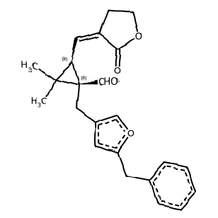 CC1(C)[C@@H](C=C2CCOC2=O)[C@]1([C]=O)Cc1coc(Cc2ccccc2)c1